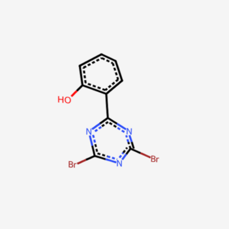 Oc1ccccc1-c1nc(Br)nc(Br)n1